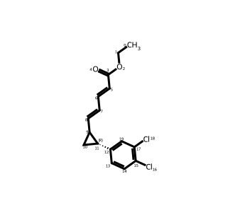 CCOC(=O)C=CC=CC1C[C@H]1c1ccc(Cl)c(Cl)c1